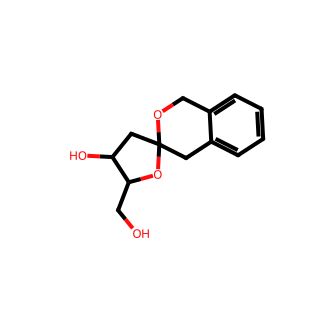 OCC1OC2(Cc3ccccc3CO2)CC1O